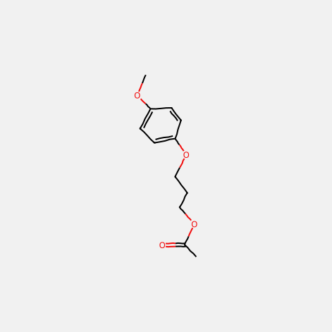 COc1ccc(OCCCOC(C)=O)cc1